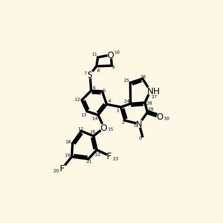 Cn1cc(-c2cc(SC3COC3)ccc2Oc2ccc(F)cc2F)c2cc[nH]c2c1=O